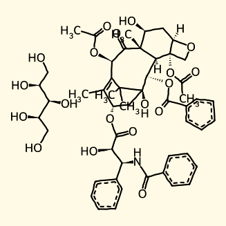 CC(=O)O[C@H]1C(=O)[C@@]2(C)[C@H]([C@H](OC(=O)c3ccccc3)[C@]3(O)C[C@H](OC(=O)[C@H](O)[C@@H](NC(=O)c4ccccc4)c4ccccc4)C(C)=C1C3(C)C)[C@]1(OC(C)=O)CO[C@@H]1C[C@@H]2O.OC[C@@H](O)[C@H](O)[C@@H](O)CO